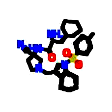 Cc1ccc(S(=O)(=O)n2cc(CN3CCC(C#N)(NC(=O)C(N)CC4CCCCC4)C3)c3ccccc32)cc1